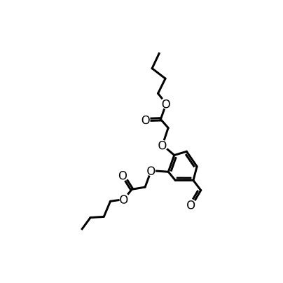 CCCCOC(=O)COc1ccc(C=O)cc1OCC(=O)OCCCC